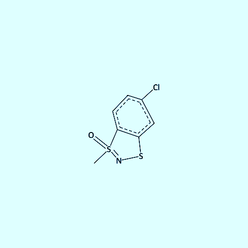 CS1(=O)=NSc2cc(Cl)ccc21